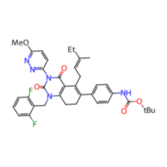 CC/C(C)=C/CC1=C(c2ccc(NC(=O)OC(C)(C)C)cc2)CCc2c1c(=O)n(-c1ccc(OC)nn1)c(=O)n2Cc1c(F)cccc1F